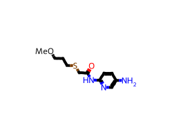 COCCCSCC(=O)Nc1ccc(N)cn1